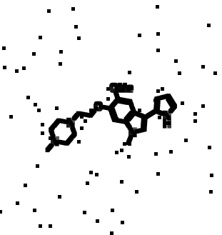 COc1cc2c(-c3ccc[nH]3)cn(C)c2cc1OCCN1CCN(C)CC1